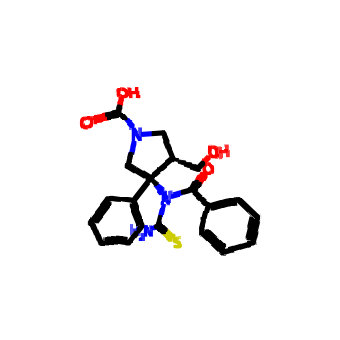 NC(=S)N(C(=O)c1ccccc1)[C@@]1(c2ccccc2)CN(C(=O)O)C[C@H]1CO